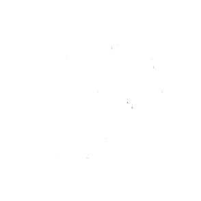 COC(=O)C1CC2(CC2[Si](C)(C)C)c2cc(C)cc(=O)n21